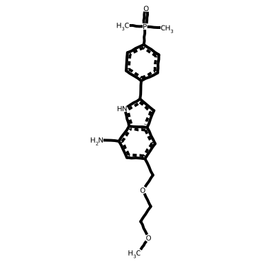 COCCOCc1cc(N)c2[nH]c(-c3ccc(P(C)(C)=O)cc3)cc2c1